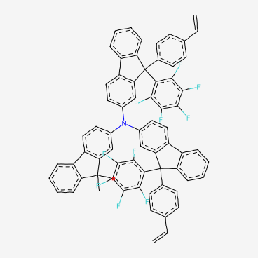 C=Cc1ccc(C2(c3c(F)c(F)c(F)c(F)c3F)c3ccccc3-c3ccc(N(c4ccc5c(c4)C(C)(C)c4ccccc4-5)c4ccc5c(c4)C(c4ccc(C=C)cc4)(c4c(F)c(F)c(F)c(F)c4F)c4ccccc4-5)cc32)cc1